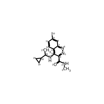 CNC(=O)c1nnc2cc(I)ccc2c1NC(C)C1CC1